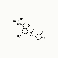 CC(C)(C)[S+]([O-])N[C@H]1CCOc2c(C(=O)Nc3ccc(F)c(F)c3)cc([N+](=O)[O-])cc21